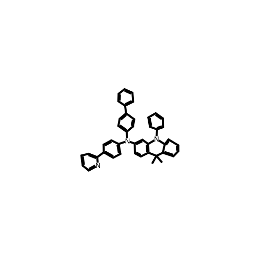 CC1(C)c2ccccc2N(c2ccccc2)c2cc(N(c3ccc(-c4ccccc4)cc3)c3ccc(-c4ccccn4)cc3)ccc21